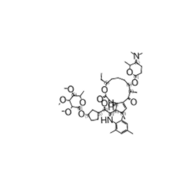 CC[C@H]1CCC[C@H](O[C@H]2CC[C@H](N(C)C)C(C)O2)[C@@H](C)C(=O)C2=C[C@@H](C)[C@@H]([C@@H](Nc3c(C)cc(C)cc3C)[C@H](O)[C@H]3CC[C@H](O[C@@H]4OC(C)[C@H](OC)C(OC)C4OC)C3)[C@@H]2CC(=O)O1